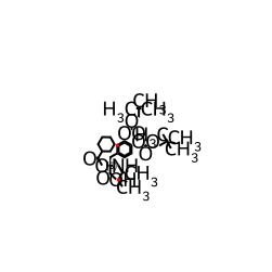 CCC(C)N[C@@](Cc1ccc(OC(=O)OCC(C)(C)C)c(OC(=O)OCC(C)(C)C)c1)(OC(=O)C1CCCCC1)C(=O)O